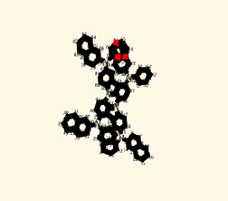 c1ccc(N(c2ccc3ccccc3c2)c2ccc3c(c2)c2c(N(c4ccccc4)c4ccc5ccccc5c4)ccc4c2n3c2ccc(N(c3ccccc3)c3ccc5ccccc5c3)c3c5cc(N(c6ccccc6)c6ccc7ccccc7c6)ccc5n4c32)cc1